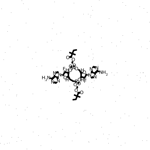 CCC(C)(C)C(=O)OCOP1(=O)CC[C@H]2O[C@@H](n3cnc4c(N)ncnc43)[C@H](F)[C@@H]2OP(=O)(OCOC(=O)C(C)(C)CC)OC[C@H]2O[C@@H](n3cnc4c(N)ncnc43)[C@H](F)[C@@H]2O1